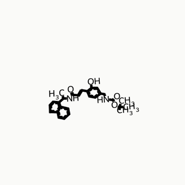 CC(NC(=O)/C=C/c1ccc(CNC(=O)OC(C)(C)C)cc1O)c1cccc2ccccc12